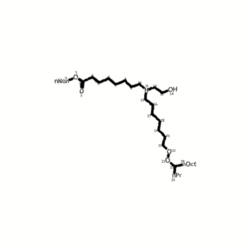 CCCCCCCCCOC(=O)CCCCCCCN(CCO)CCCCCCCOOC(CCC)CCCCCCCC